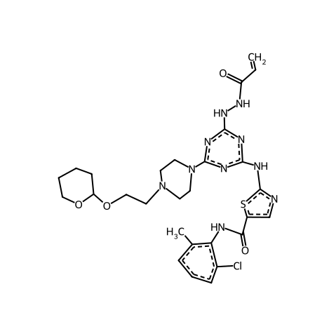 C=CC(=O)NNc1nc(Nc2ncc(C(=O)Nc3c(C)cccc3Cl)s2)nc(N2CCN(CCOC3CCCCO3)CC2)n1